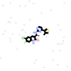 Cc1cscc1-c1ccnc(N[C@@H](C)c2cc3cc(Cl)c(F)cc3[nH]c2=O)n1